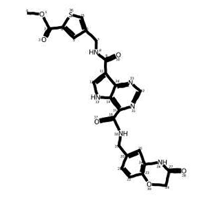 COC(=O)c1cc(CNC(=O)c2c[nH]c3c(C(=O)NCc4ccc5c(c4)NC(=O)CO5)ncnc23)cs1